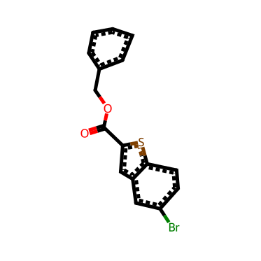 O=C(OCc1ccccc1)c1cc2cc(Br)ccc2s1